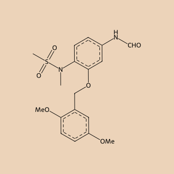 COc1ccc(OC)c(COc2cc(NC=O)ccc2N(C)S(C)(=O)=O)c1